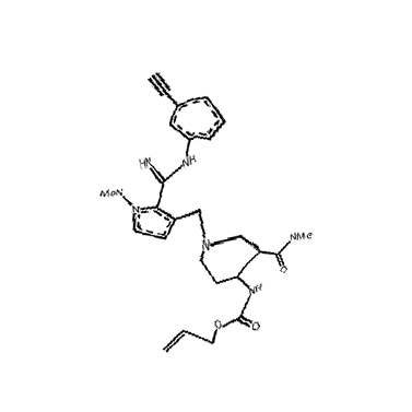 C#Cc1cccc(NC(=N)c2c(CN3CCC(NC(=O)OCC=C)C(C(=O)NC)C3)ccn2NC)c1